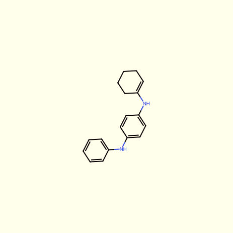 C1=C(Nc2ccc(Nc3ccccc3)cc2)CCCC1